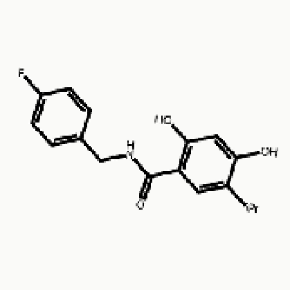 CC(C)c1cc(C(=O)NCc2ccc(F)cc2)c(O)cc1O